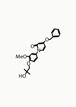 COc1cc(-n2ccc(OCc3ccccc3)cc2=O)ccc1OCC(C)(C)O